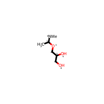 CNC(C)OCC(O)CO